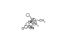 CCCC1O[C@@H]2C[C@H]3C4CCC5=CC(=O)C=C[C@]5(C)C4[C@@H](O)C[C@]3(C)[C@]2(C(=O)CCCC2CCCCC2)O1